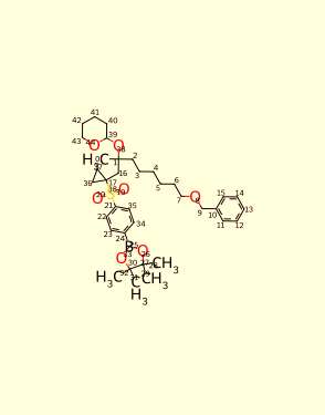 CC(CCCCCCOCc1ccccc1)(CC1(S(=O)(=O)c2ccc(B3OC(C)(C)C(C)(C)O3)cc2)CC1)OC1CCCCO1